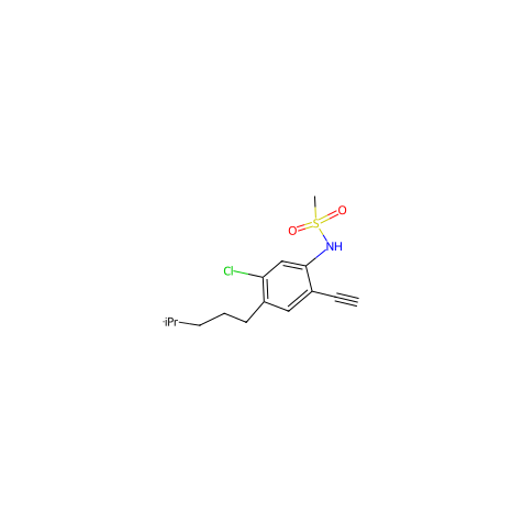 C#Cc1cc(CCC[C](C)C)c(Cl)cc1NS(C)(=O)=O